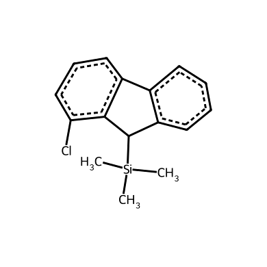 C[Si](C)(C)C1c2ccccc2-c2cccc(Cl)c21